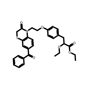 CCOC(=O)C(Cc1ccc(OCCN2C(=O)CSc3cc(C(=O)c4ccccc4)ccc32)cc1)OCC